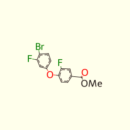 COC(=O)c1ccc(Oc2ccc(Br)c(F)c2)c(F)c1